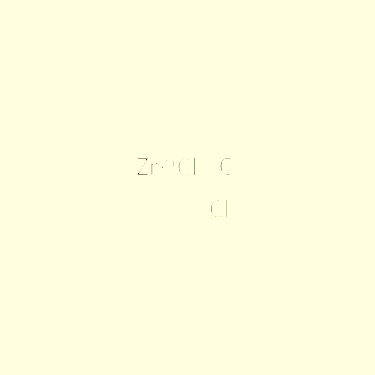 [C].[Cl-].[Cl-].[Zr+2]